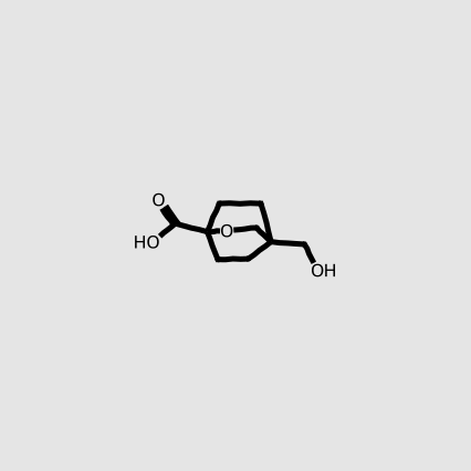 O=C(O)C12CCC(CO)(CC1)CO2